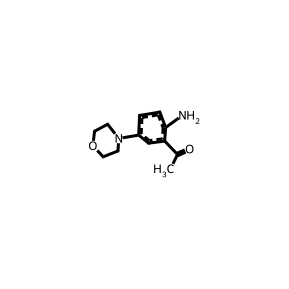 CC(=O)c1cc(N2CCOCC2)ccc1N